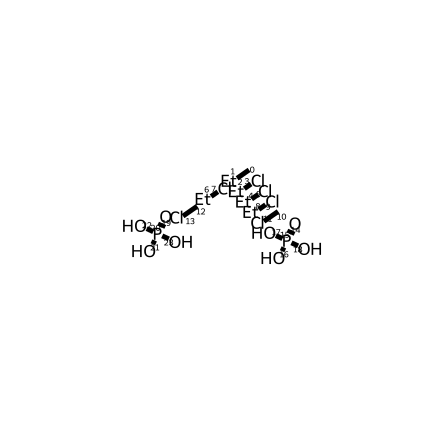 CCC.CCCl.CCCl.CCCl.CCCl.CCl.CCl.O=P(O)(O)O.O=P(O)(O)O